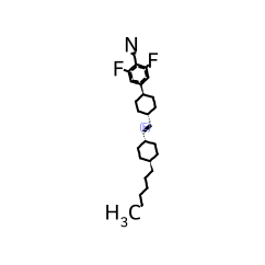 CCCCCC[C@H]1CC[C@H](/C=C/[C@H]2CC[C@H](c3cc(F)c(C#N)c(F)c3)CC2)CC1